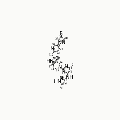 Cc1cc(Nc2cc(C)[nH]n2)nc(N2CCC(C)(NC(=O)Cc3ccc(-n4cc(F)cn4)cn3)CC2)n1